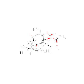 CC(=O)OC1C(C)=C[C@]23C(=O)[C@@H]([C@H](O)[C@H](C)[C@H]4OC(=O)O[C@]142)[C@H]1[C@@H](C[C@H]3C)C1(C)C